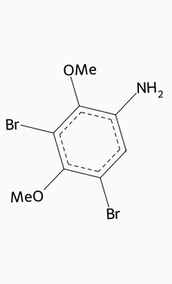 COc1c(N)cc(Br)c(OC)c1Br